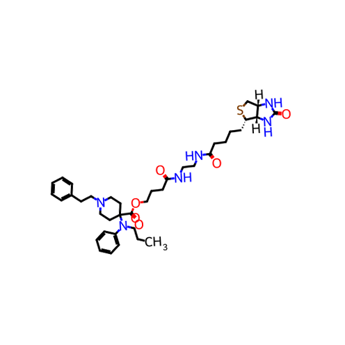 CCC(=O)N(c1ccccc1)C1(C(=O)OCCCC(=O)NCCNC(=O)CCCC[C@@H]2SC[C@@H]3NC(=O)N[C@@H]32)CCN(CCc2ccccc2)CC1